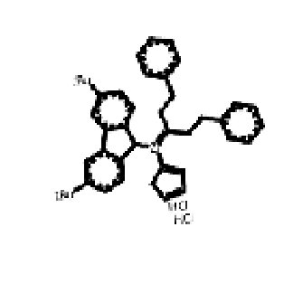 CC(C)(C)c1ccc2c(c1)-c1cc(C(C)(C)C)ccc1[CH]2[Zr]([C]1=CC=CC1)=[C](CCc1ccccc1)CCc1ccccc1.Cl.Cl